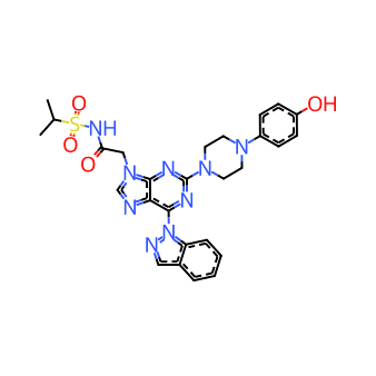 CC(C)S(=O)(=O)NC(=O)Cn1cnc2c(-n3ncc4ccccc43)nc(N3CCN(c4ccc(O)cc4)CC3)nc21